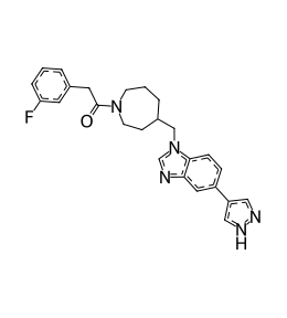 O=C(Cc1cccc(F)c1)N1CCCC(Cn2cnc3cc(-c4cn[nH]c4)ccc32)CC1